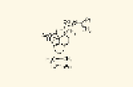 C=C(CC[C@H](C(=O)O)[C@H]1C[C@H](OC(C)=O)[C@@]2(C)C3=CC[C@@H](C(C)(C)[C@@H](O)CCCC)CC3=CC[C@]12C)C(C)C